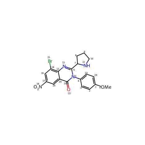 COc1ccc(-n2c(C3CCCN3)nc3c(Br)cc([N+](=O)[O-])cc3c2=O)cc1